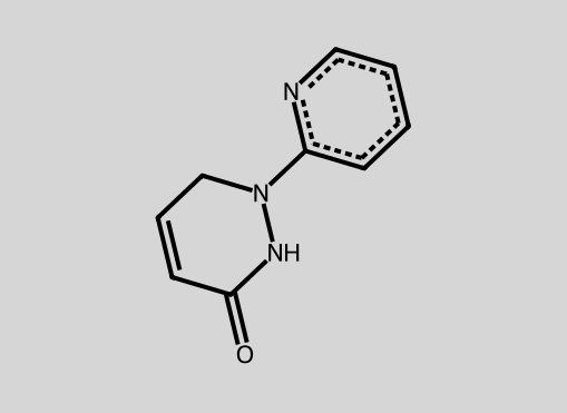 O=C1C=CCN(c2ccccn2)N1